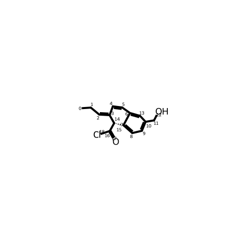 CC/C=C(\C=C/c1cccc(CO)c1)[C@H](C)C(=O)Cl